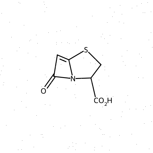 O=C(O)C1CSC2=CC(=O)N21